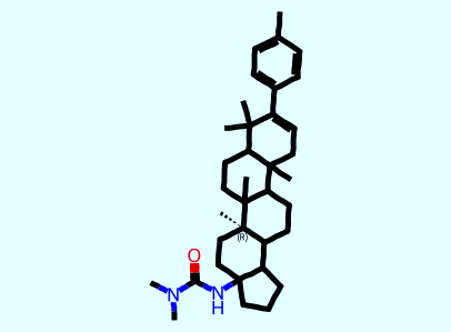 Cc1ccc(C2=CCC3(C)C(CCC4(C)C3CCC3C5CCCC5(NC(=O)N(C)C)CC[C@]34C)C2(C)C)cc1